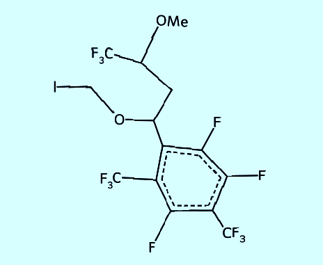 COC(CC(OCI)c1c(F)c(F)c(C(F)(F)F)c(F)c1C(F)(F)F)C(F)(F)F